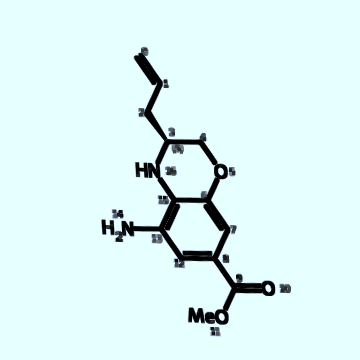 C=CC[C@H]1COc2cc(C(=O)OC)cc(N)c2N1